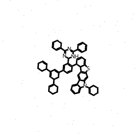 C1=CCCC(C2=NC(c3cc(C4=CC(C5C=CCCC5)=CC(C5=CCCCC5)C4)ccc3C3C=CC=C4Sc5cc6c(cc5C43)c3ccccc3n6C3=CCCCC3)NC(c3ccccc3)=N2)=C1